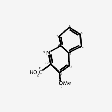 COc1cc2ccccc2nc1C(=O)O